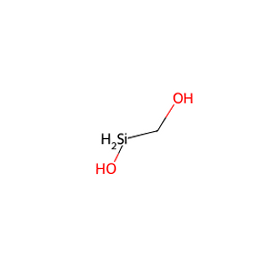 OC[SiH2]O